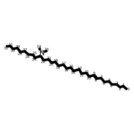 CCCCCCCC/C=C/CCCCCCCCCCCCCC(CCCCCCCCC)N(C)C